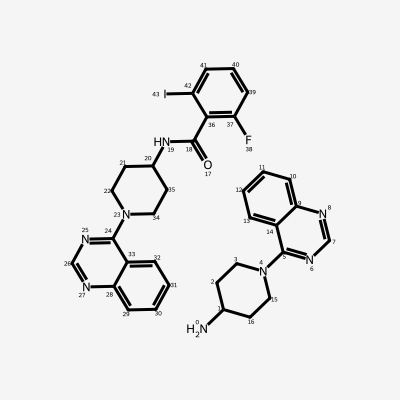 NC1CCN(c2ncnc3ccccc23)CC1.O=C(NC1CCN(c2ncnc3ccccc23)CC1)c1c(F)cccc1I